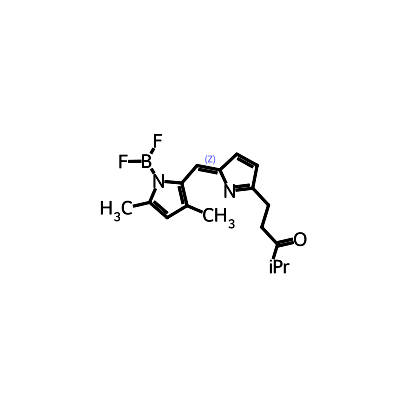 Cc1cc(C)n(B(F)F)c1/C=C1/C=CC(CCC(=O)C(C)C)=N1